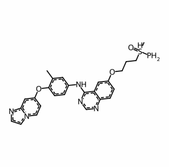 Cc1cc(Nc2ncnc3ccc(OCCC[SH](C)(=O)P)cc23)ccc1Oc1ccn2ccnc2c1